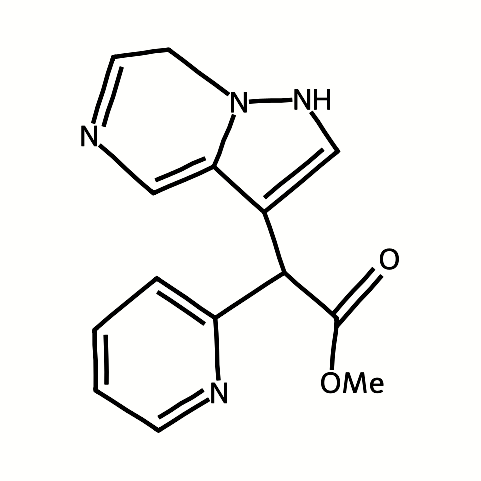 COC(=O)C(C1=CNN2CC=NC=C12)c1ccccn1